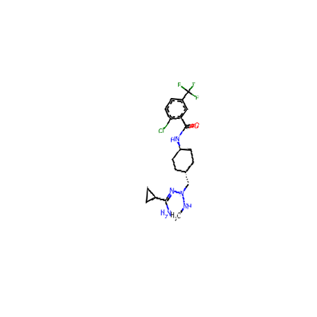 CNN(C[C@H]1CC[C@H](NC(=O)c2cc(C(F)(F)F)ccc2Cl)CC1)/N=C(\N)C1CC1